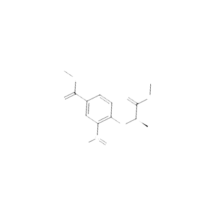 COC(=O)c1ccc(O[C@H](C)C(=O)OC)c([N+](=O)[O-])c1